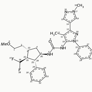 COCC[C@@H]1C[C@@H](NC(=O)Nc2c(C)c(-c3cnn(C)c3)nn2-c2ccccc2)[C@H](c2ccccc2)[C@H]1C(F)F